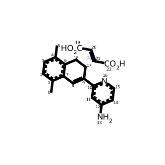 Cc1ccc(C)c2c1C=C(c1cc(N)ccn1)CC2.O=C(O)/C=C/C(=O)O